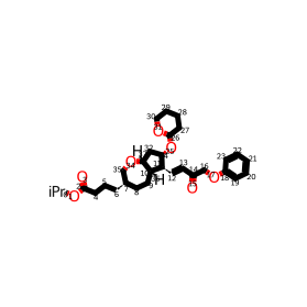 CC(C)OC(=O)CCC[C@H]1CC[C@@H]2[C@@H](C=CC(=O)COc3ccccc3)[C@H](OC3CCCCO3)C[C@@H]2OC1